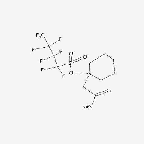 CCCC(=O)CS1(OS(=O)(=O)C(F)(F)C(F)(F)C(F)(F)C(F)(F)F)CCCCC1